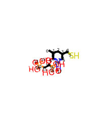 CC1CC(CS)CNC1OC(CP(=O)(O)O)P(=O)(O)O